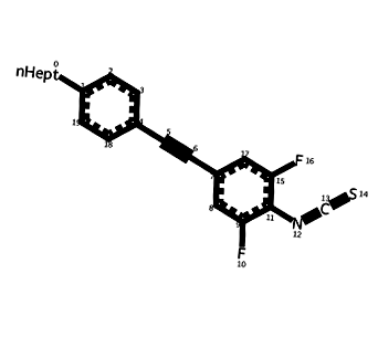 CCCCCCCc1ccc(C#Cc2cc(F)c(N=C=S)c(F)c2)cc1